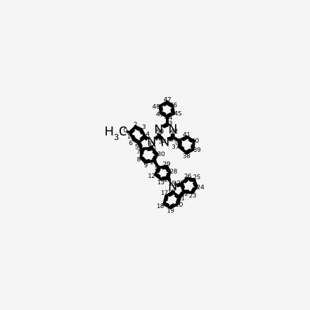 Cc1ccc2c(c1)c1ccc(-c3ccc(-n4c5ccccc5c5ccccc54)cc3)cc1n2-c1nc(-c2ccccc2)nc(-c2ccccc2)n1